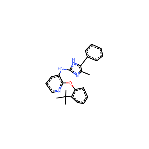 Cc1nc(Nc2cccnc2Oc2ccccc2C(C)(C)C)[nH]c1-c1ccccc1